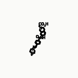 CN1CCN(N=Cc2ccc(C(=O)Nc3ccc4c(c3)CN(CC(=O)O)CC4)cc2)CC1